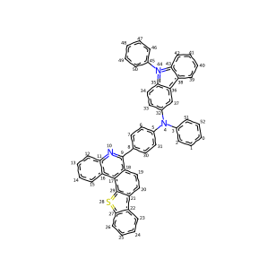 c1ccc(N(c2ccc(-c3nc4ccccc4c4c3ccc3c5ccccc5sc34)cc2)c2ccc3c(c2)c2ccccc2n3-c2ccccc2)cc1